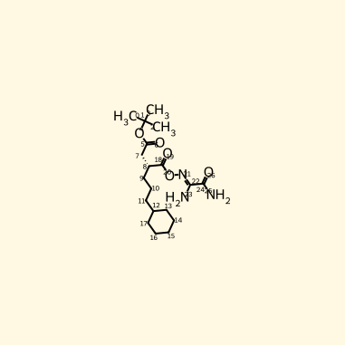 CC(C)(C)OC(=O)C[C@@H](CCCC1CCCCC1)C(=O)O/N=C(\N)C(N)=O